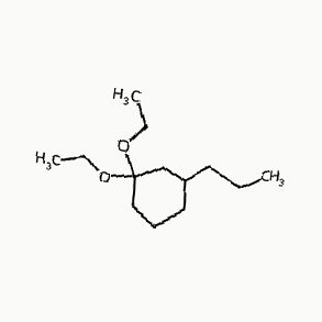 CCCC1CCCC(OCC)(OCC)C1